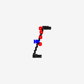 CCCCCCCCCCCCCCCCCC(=O)NCCOCCOCC(=O)NC